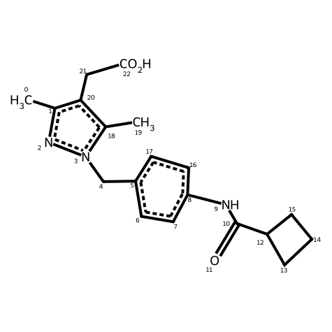 Cc1nn(Cc2ccc(NC(=O)C3CCC3)cc2)c(C)c1CC(=O)O